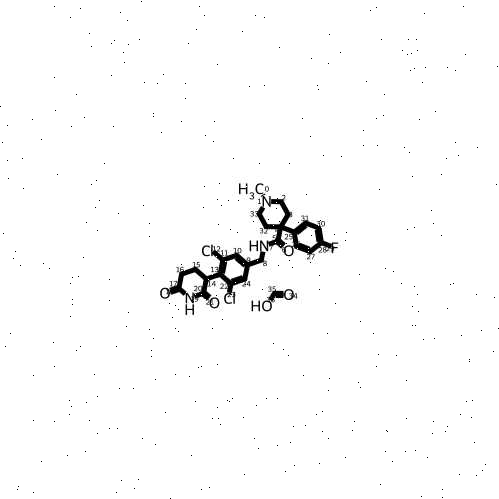 CN1CCC(C(=O)NCc2cc(Cl)c(C3CCC(=O)NC3=O)c(Cl)c2)(c2ccc(F)cc2)CC1.O=CO